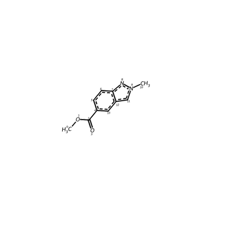 COC(=O)c1ccc2nn(C)cc2c1